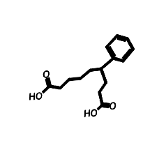 O=C(O)CCCCC(CCC(=O)O)c1ccccc1